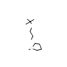 CN1CCC[C@H]1CCCOC(C)(C)C